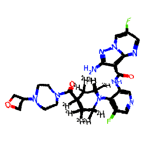 [2H]C1([2H])N(c2c(F)cncc2NC(=O)c2c(N)nn3cc(F)cnc23)C([2H])([2H])C([2H])([2H])C([2H])(C(=O)N2CCN(C3COC3)CC2)C1([2H])[2H]